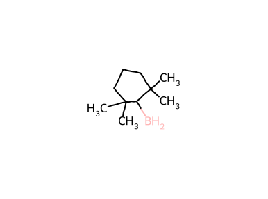 BC1C(C)(C)CCCC1(C)C